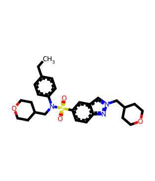 CCc1ccc(N(CC2CCOCC2)S(=O)(=O)c2ccc3nn(CC4CCOCC4)cc3c2)cc1